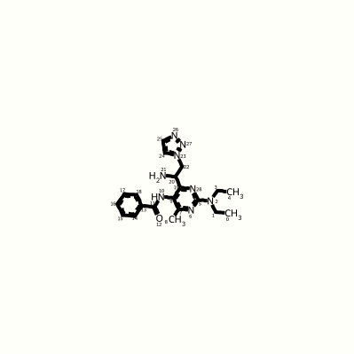 CCN(CC)c1nc(C)c(NC(=O)c2ccccc2)c(C(N)Cn2ccnn2)n1